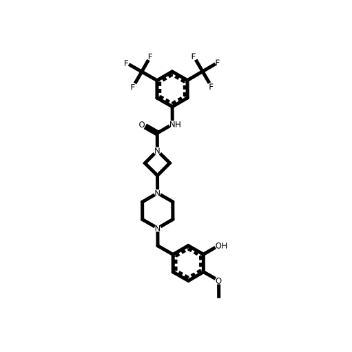 COc1ccc(CN2CCN(C3CN(C(=O)Nc4cc(C(F)(F)F)cc(C(F)(F)F)c4)C3)CC2)cc1O